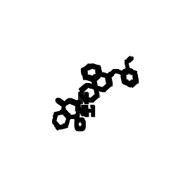 C=C1C=C(N2CCC3(CC=C(Cc4ccccc4CC)c4ccccc43)CC2)NC(=O)C2=C1CCCC2